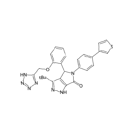 CC(C)(C)c1n[nH]c2c1C(c1ccccc1OCc1nnn[nH]1)N(c1ccc(-c3ccsc3)cc1)C2=O